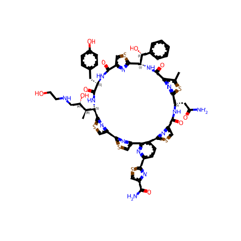 Cc1sc2nc1C(=O)N[C@@H]([C@H](O)c1ccccc1)c1nc(cs1)C(=O)N[C@@H](Cc1ccc(O)cc1)C(=O)N[C@@H]([C@@H](C)[C@@H](O)CNCCO)c1nc(cs1)-c1nc(cs1)-c1nc(-c3nc(C(N)=O)cs3)ccc1-c1nc(cs1)C(=O)N[C@H]2CC(N)=O